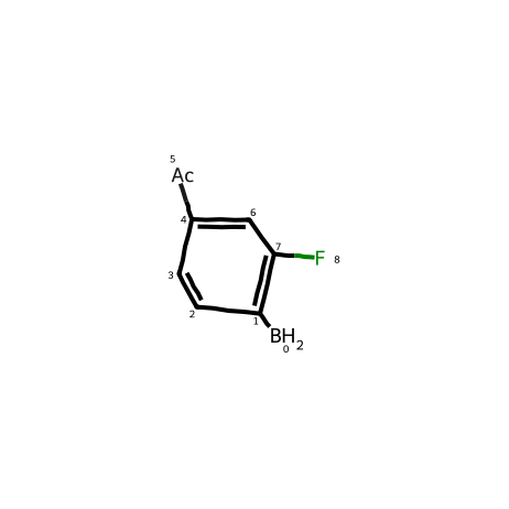 Bc1ccc(C(C)=O)cc1F